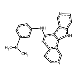 CN(C)c1cccc(Nc2nc3ccncc3c3[nH]c4ccncc4c23)c1